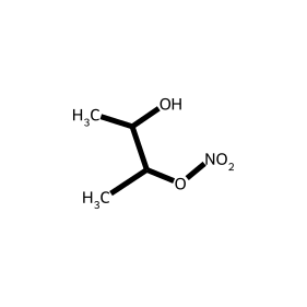 CC(O)C(C)O[N+](=O)[O-]